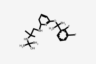 BC(B)(O)NC(C)(C)CNC1CC=CC(OC(B)(B)c2cccc(F)c2F)=N1